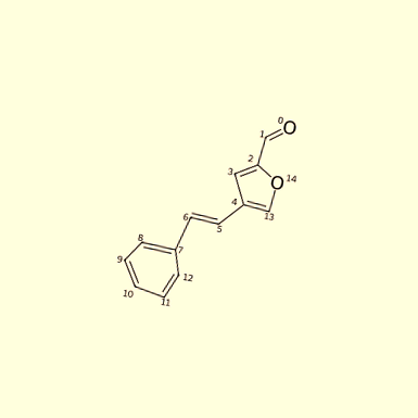 O=Cc1cc(C=Cc2ccccc2)co1